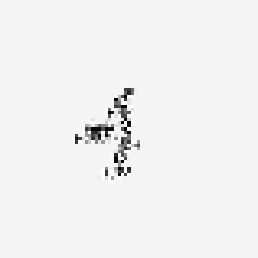 NC(=O)C1CCN(CC(O)COc2ccc(-c3nc4cc(Br)cnc4[nH]3)cc2)CC1.O=C(O)C(F)(F)F.O=C(O)C(F)(F)F